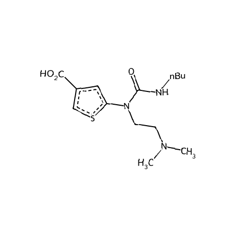 CCCCNC(=O)N(CCN(C)C)c1cc(C(=O)O)cs1